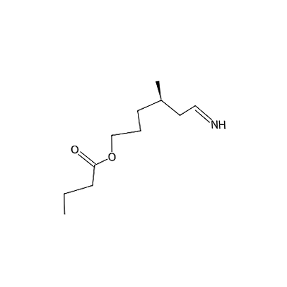 CCCC(=O)OCCC[C@@H](C)CC=N